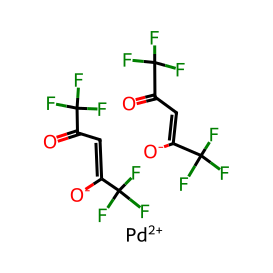 O=C(/C=C(\[O-])C(F)(F)F)C(F)(F)F.O=C(/C=C(\[O-])C(F)(F)F)C(F)(F)F.[Pd+2]